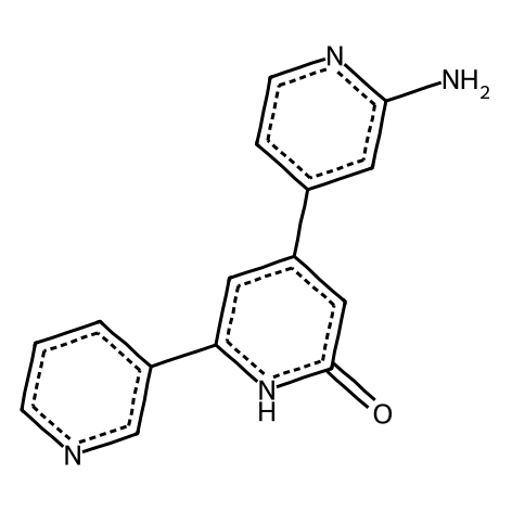 Nc1cc(-c2cc(-c3cccnc3)[nH]c(=O)c2)ccn1